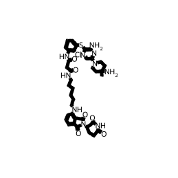 CC1(N)CCN(c2cnc(Sc3cccc(NC(=O)CC(=O)NCCCCCCNc4cccc5c4C(=O)N(C4CCC(=O)NC4=O)C5=O)c3Cl)c(N)n2)CC1